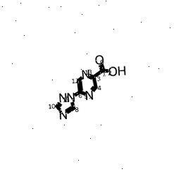 O=C(O)c1cnc(-n2cncn2)cn1